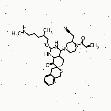 C=CC(=O)N1CCN(C2NC(OCC(C)CCCNC)NC3C(=O)[C@]4(CCC32)Cc2ccccc2CS4)CC1CC#N